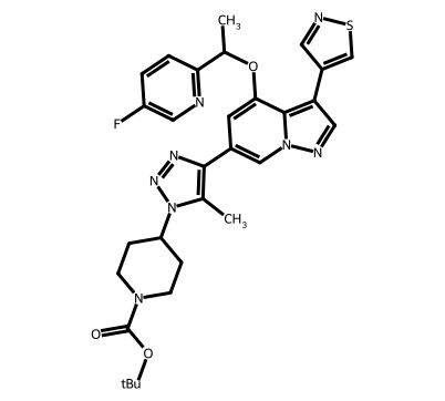 Cc1c(-c2cc(OC(C)c3ccc(F)cn3)c3c(-c4cnsc4)cnn3c2)nnn1C1CCN(C(=O)OC(C)(C)C)CC1